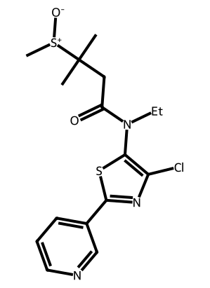 CCN(C(=O)CC(C)(C)[S+](C)[O-])c1sc(-c2cccnc2)nc1Cl